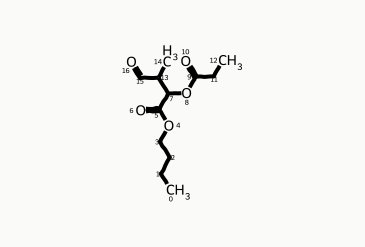 CCCCOC(=O)C(OC(=O)CC)C(C)C=O